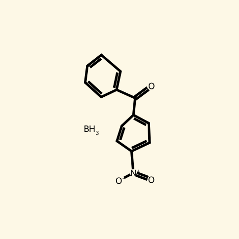 B.O=C(c1ccccc1)c1ccc([N+](=O)[O-])cc1